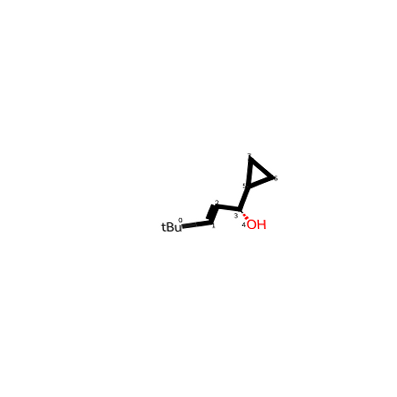 CC(C)(C)/C=C/[C@@H](O)C1CC1